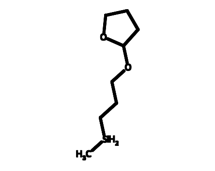 C[SiH2]CCCOC1CCCO1